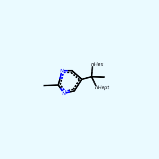 CCCCCCCC(C)(CCCCCC)c1cnc(C)nc1